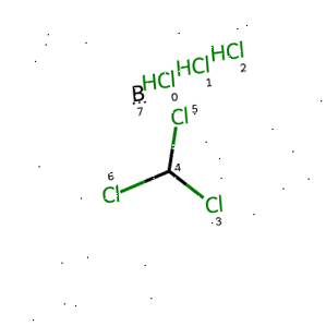 Cl.Cl.Cl.ClC(Cl)Cl.[B]